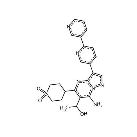 CC(O)c1c(C2CCS(=O)(=O)CC2)nc2c(-c3ccc(-c4cccnc4)nc3)cnn2c1N